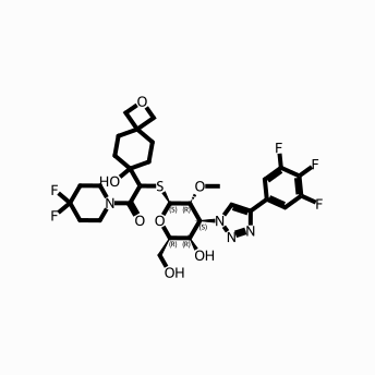 CO[C@@H]1[C@@H](n2cc(-c3cc(F)c(F)c(F)c3)nn2)[C@@H](O)[C@@H](CO)O[C@H]1SC(C(=O)N1CCC(F)(F)CC1)C1(O)CCC2(CC1)COC2